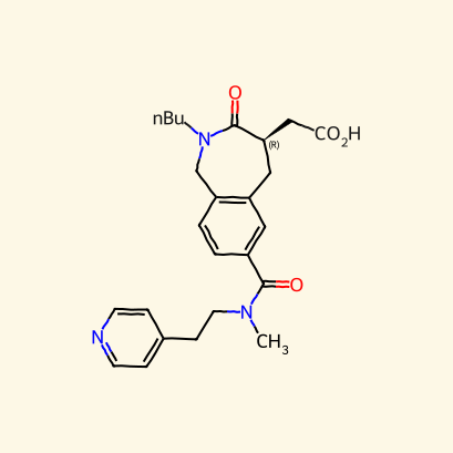 CCCCN1Cc2ccc(C(=O)N(C)CCc3ccncc3)cc2C[C@H](CC(=O)O)C1=O